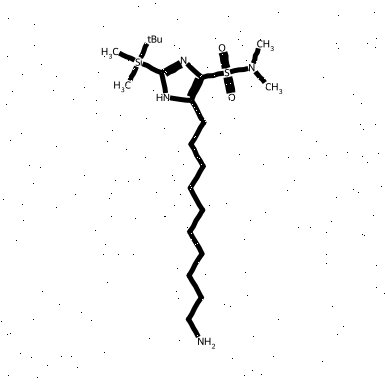 CN(C)S(=O)(=O)c1nc([Si](C)(C)C(C)(C)C)[nH]c1CCCCCCCCCCN